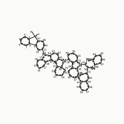 CC1(C)c2ccccc2-c2cc(-n3c4ccccc4c4c5c6ccccc6n(-c6cccc7c6c6ccccc6n7-c6nc7ccccc7nc6-c6ccc7ccccc7c6)c5ccc43)ccc21